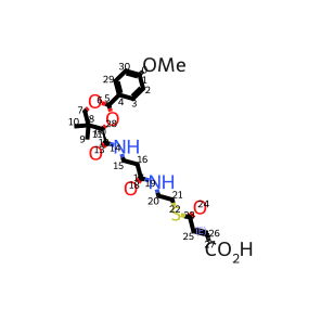 COc1ccc(C2OCC(C)(C)[C@H](C(=O)NCCC(=O)NCCSC(=O)/C=C/C(=O)O)O2)cc1